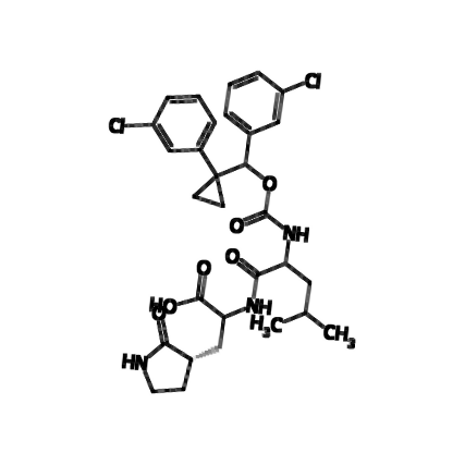 CC(C)CC(NC(=O)OC(c1cccc(Cl)c1)C1(c2cccc(Cl)c2)CC1)C(=O)NC(C[C@@H]1CCNC1=O)C(=O)O